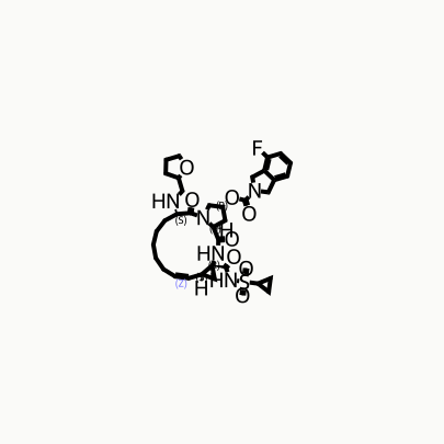 O=C1N[C@]2(C(=O)NS(=O)(=O)C3CC3)C[C@H]2/C=C\CCCCC[C@H](NCC2CCCO2)C(=O)N2C[C@H](OC(=O)N3Cc4cccc(F)c4C3)C[C@@H]12